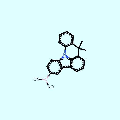 CC1(C)c2ccccc2-n2c3ccc(B(N=O)N=O)cc3c3cccc1c32